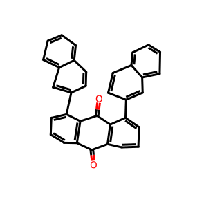 O=C1c2cccc(-c3ccc4ccccc4c3)c2C(=O)c2c1cccc2-c1ccc2ccccc2c1